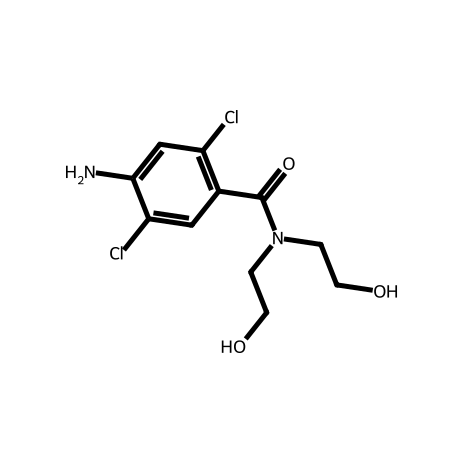 Nc1cc(Cl)c(C(=O)N(CCO)CCO)cc1Cl